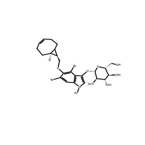 CC(=O)O[C@@H]1[C@@H](OC(C)=O)[C@H](Oc2cn(C(C)=O)c3cc(Br)c(OC[C@@H]4C5CC/C=C\CC[C@@H]54)c(Br)c23)O[C@H](CO)[C@H]1OC(C)=O